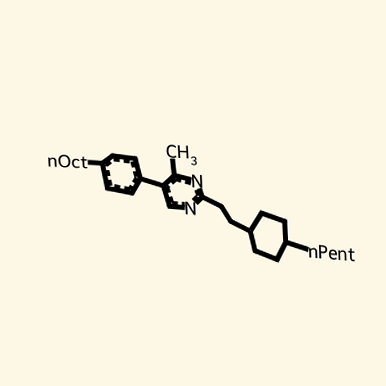 CCCCCCCCc1ccc(-c2cnc(CCC3CCC(CCCCC)CC3)nc2C)cc1